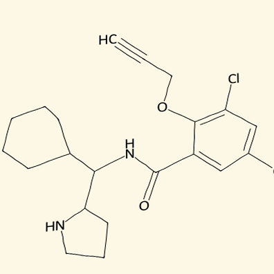 C#CCOc1c(Cl)cc(Cl)cc1C(=O)NC(C1CCCCC1)C1CCCN1